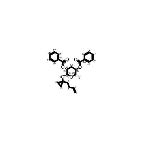 C=CCCC1(O[C@@H]2O[C@@H](C)[C@H](OC(=O)c3ccccc3)C[C@H]2OC(=O)c2ccccc2)CC1